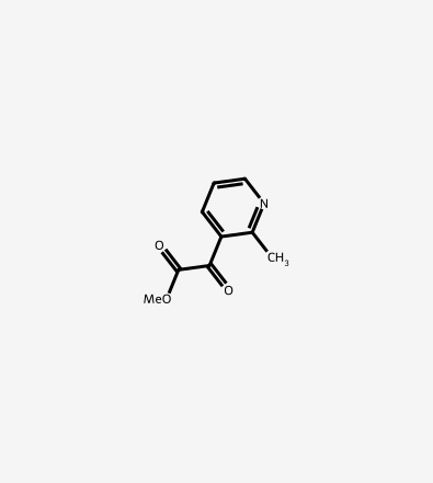 COC(=O)C(=O)c1cccnc1C